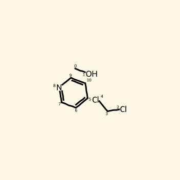 CO.ClCCl.c1ccncc1